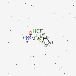 Cc1c(CCC(=O)N(C)C)sc2ccccc12.Cl